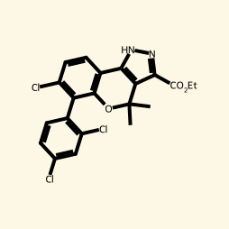 CCOC(=O)c1n[nH]c2c1C(C)(C)Oc1c-2ccc(Cl)c1-c1ccc(Cl)cc1Cl